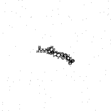 C=C1CC[C@H](OC(=O)Oc2ccc([N+](=O)[O-])cc2)C/C1=C/C=C1\CCC[C@]2(C)C(CCCCC(C)C)CC[C@@H]12